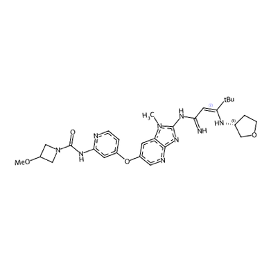 COC1CN(C(=O)Nc2cc(Oc3cnc4nc(NC(=N)/C=C(\N[C@@H]5CCOC5)C(C)(C)C)n(C)c4c3)ccn2)C1